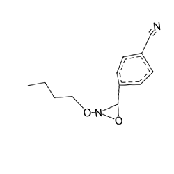 CCCCON1OC1c1ccc(C#N)cc1